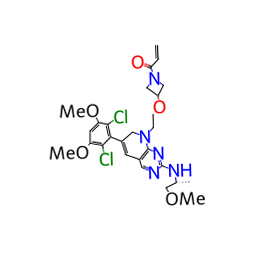 C=CC(=O)N1CC(OCCN2CC(c3c(Cl)c(OC)cc(OC)c3Cl)=Cc3cnc(N[C@H](C)COC)nc32)C1